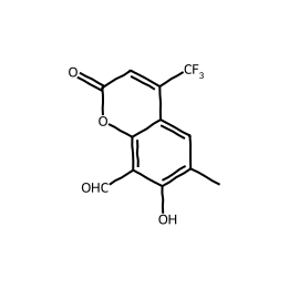 Cc1cc2c(C(F)(F)F)cc(=O)oc2c(C=O)c1O